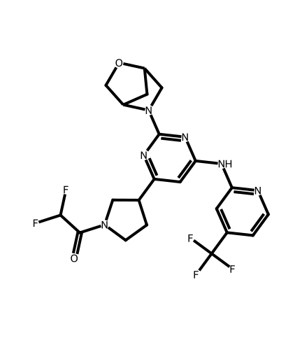 O=C(C(F)F)N1CCC(c2cc(Nc3cc(C(F)(F)F)ccn3)nc(N3CC4CC3CO4)n2)C1